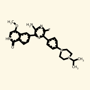 COc1c[nH]c(=O)c2ccc(-c3nc(-c4ccc(N5CCN(C(C)C)CC5)cc4)c(F)nc3N)cc12